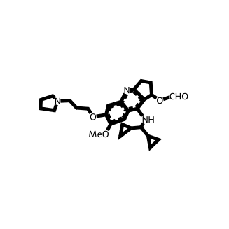 COc1cc2c(NC(C3CC3)C3CC3)c3c(nc2cc1OCCCN1CCCC1)CCC3OC=O